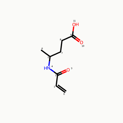 C=CC(=O)NC(C)CCC(=O)O